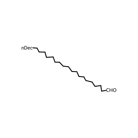 CCCCCCCCCCCCCCCCCCCCCCCCCCCCC=O